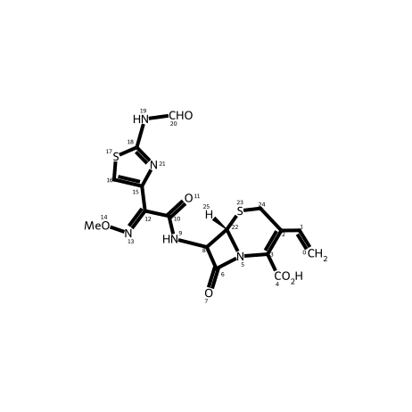 C=CC1=C(C(=O)O)N2C(=O)C(NC(=O)C(=NOC)c3csc(NC=O)n3)[C@@H]2SC1